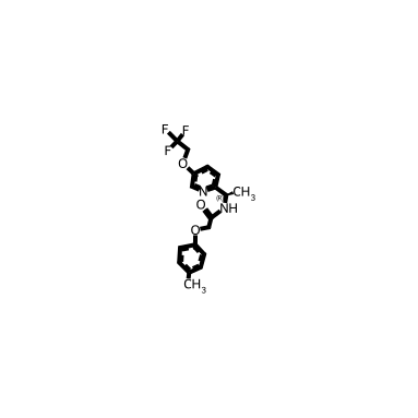 Cc1ccc(OCC(=O)N[C@H](C)c2ccc(OCC(F)(F)F)cn2)cc1